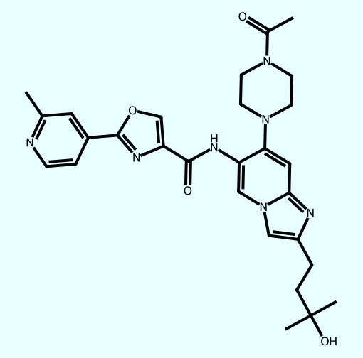 CC(=O)N1CCN(c2cc3nc(CCC(C)(C)O)cn3cc2NC(=O)c2coc(-c3ccnc(C)c3)n2)CC1